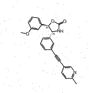 COc1cccc([C@H]2OC(=O)N[C@@H]2c2cccc(C#Cc3ccc(C)nc3)c2)c1